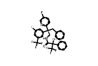 O=C(NC[C@@](Cc1ccccc1)(c1cc(F)cc(C(F)(F)F)c1)c1ccc(F)cn1)C(O)(c1ccccc1)C(F)(F)F